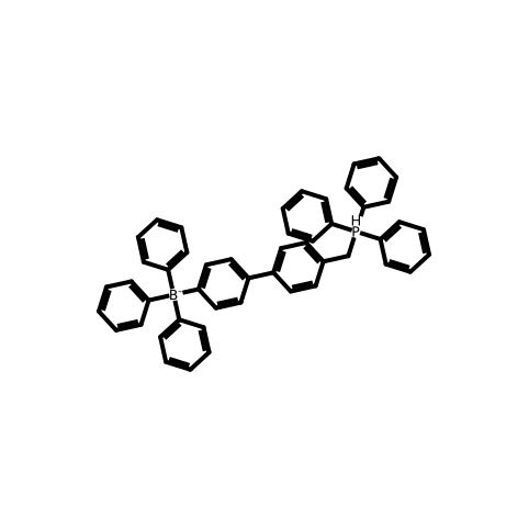 c1ccc([B-](c2ccccc2)(c2ccccc2)c2ccc(-c3ccc(C[PH](c4ccccc4)(c4ccccc4)c4ccccc4)cc3)cc2)cc1